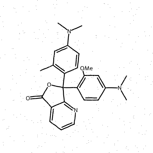 COc1cc(N(C)C)ccc1C1(c2ccc(N(C)C)cc2C)OC(=O)c2cccnc21